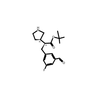 CC(C)(C)OC(=O)[C@@H](Cc1cc(F)cc(C=O)c1)[C@H]1CCNC1